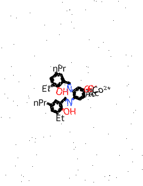 CC(=O)[O-].CC(=O)[O-].CCCc1cc(C=Nc2ccccc2N=Cc2cc(CCC)cc(CC)c2O)c(O)c(CC)c1.[Co+2]